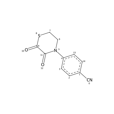 N#Cc1ccc(N2CCSC(=O)C2=O)cc1